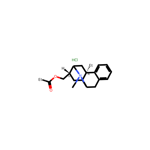 CCC(=O)OC[C@H]1CC2C3Cc4ccccc4[C@]2(CC)CC1N3C.Cl